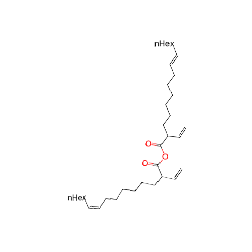 C=CC(CCCCCCC=CCCCCCC)C(=O)OC(=O)C(C=C)CCCCCC/C=C\CCCCCC